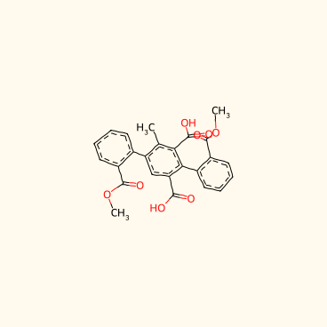 COC(=O)c1ccccc1-c1cc(C(=O)O)c(-c2ccccc2C(=O)OC)c(C(=O)O)c1C